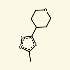 Cc1nc(C2CCOCC2)no1